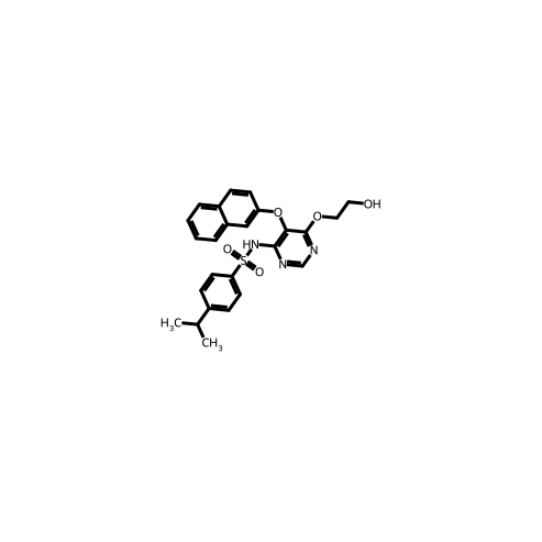 CC(C)c1ccc(S(=O)(=O)Nc2ncnc(OCCO)c2Oc2ccc3ccccc3c2)cc1